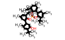 Cc1cc(-c2cc(O)c(C(C)(C)C)cc2C)c(Op2oc3c(C(C)(C)C)cc(C)cc3c3cc(C)cc(C(C)(C)C)c3o2)c(C(C)(C)C)c1